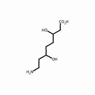 NCCC(O)CCC(O)CC(=O)O